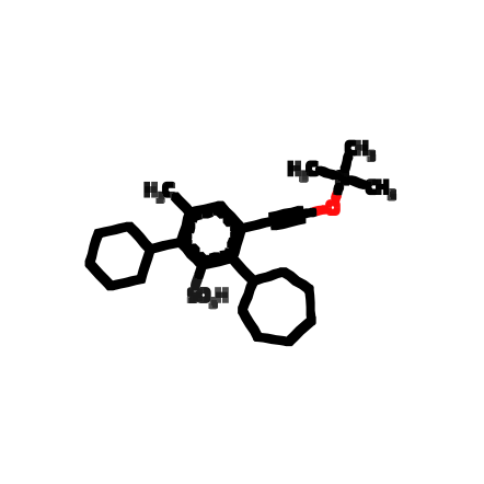 Cc1cc(C#CO[Si](C)(C)C)c(C2CCCCCC2)c(S(=O)(=O)O)c1C1CCCCC1